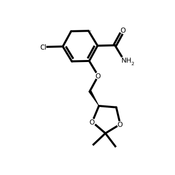 CC1(C)OC[C@H](COC2=C(C(N)=O)[CH]CC(Cl)=C2)O1